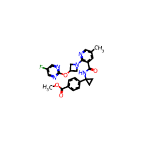 COC(=O)c1ccc(C2(NC(=O)c3cc(C)cnc3N3CC(Oc4ncc(F)cn4)C3)CC2)cc1